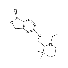 CCN1CCCC(C)(C)C1COc1ccc2c(c1)COC2=O